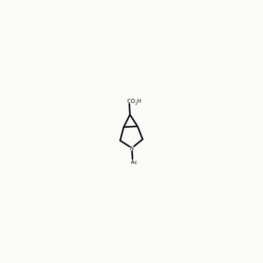 CC(=O)N1CC2C(C1)C2C(=O)O